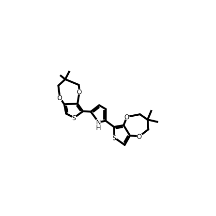 CC1(C)COc2csc(-c3ccc(-c4scc5c4OCC(C)(C)CO5)[nH]3)c2OC1